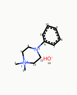 C[N+]1(C)CCN(c2ccccc2)CC1.[OH-]